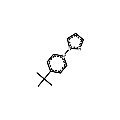 CC(C)(C)c1cc[n+](-n2cccn2)cc1